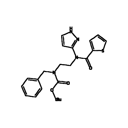 CC(C)(C)OC(=O)N(CCN(C(=O)c1cccs1)c1cc[nH]n1)Cc1ccccc1